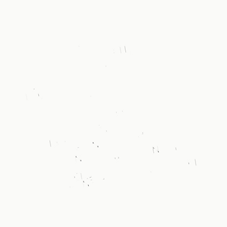 CON1CCC(C#N)(N(C(=O)Cc2cc(C)ccc2C)N(C)C)CC1